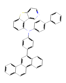 c1ccc(-c2ccc(N(c3ccc(-c4cc5c6ccccc6ccc5c5ccccc45)cc3)c3cccc4sc5ccncc5c34)cc2)cc1